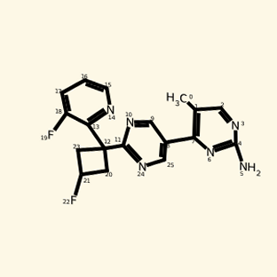 Cc1cnc(N)nc1-c1cnc(C2(c3ncccc3F)CC(F)C2)nc1